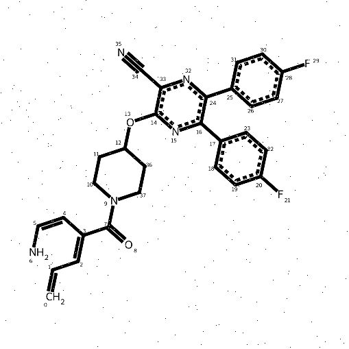 C=C/C=C(\C=C/N)C(=O)N1CCC(Oc2nc(-c3ccc(F)cc3)c(-c3ccc(F)cc3)nc2C#N)CC1